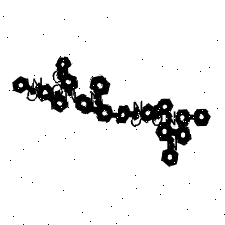 c1ccc(-c2ccc(N(c3cccc4c3oc3cc5oc(-c6ccc(-c7ccc8c9ccc(N(c%10ccc%11c(c%10)oc%10ccccc%10%11)c%10cccc%11c%10oc%10cc%12nc(-c%13ccccc%13)oc%12cc%10%11)cc9n(-c9ccccc9)c8c7)cc6)nc5cc34)c3cccc4c3c3ccccc3n4-c3ccccc3)cc2)cc1